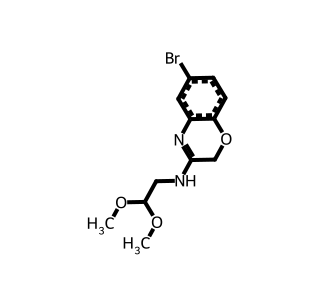 COC(CNC1=Nc2cc(Br)ccc2OC1)OC